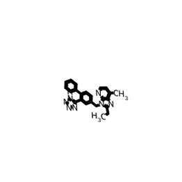 CCc1nc2c(C)ccnc2n1Cc1ccc(-c2ccccc2)c(-c2nnn[nH]2)c1